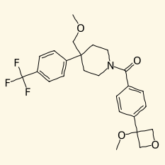 COCC1(c2ccc(C(F)(F)F)cc2)CCN(C(=O)c2ccc(C3(OC)COC3)cc2)CC1